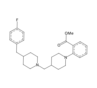 COC(=O)c1ccccc1N1CCC(CN2CCC(Cc3ccc(F)cc3)CC2)CC1